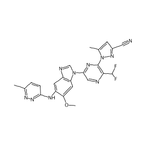 COc1cc2c(cc1Nc1ccc(C)nn1)ncn2-c1cnc(C(F)F)c(-n2nc(C#N)cc2C)n1